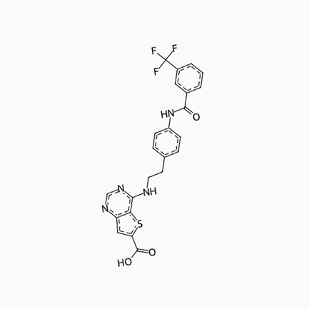 O=C(Nc1ccc(CCNc2ncnc3cc(C(=O)O)sc23)cc1)c1cccc(C(F)(F)F)c1